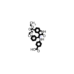 CCOP(=O)(OCC)c1ccc2c(c1)/C(=C(/Nc1ccc(C(=O)O)cc1)c1ccccc1)C(=O)N2